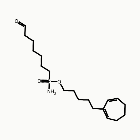 NP(=O)(CCCCCCC=O)OCCCCCC1=CCCCC=C1